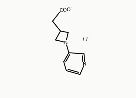 O=C([O-])CC1CN(c2cccnc2)C1.[Li+]